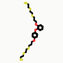 SCCSCCSCCCOc1ccc(Oc2ccccc2OCCCSCCSCCS)cc1